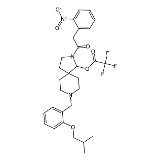 CC(C)COc1ccccc1CN1CCC2(CC1)CCN(C(=O)Cc1ccccc1[N+](=O)[O-])C2OC(=O)C(F)(F)F